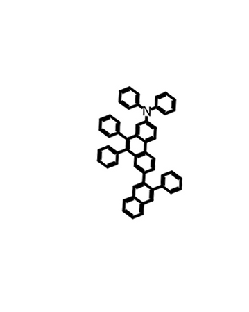 c1ccc(-c2cc3ccccc3cc2-c2ccc3c(c2)c(-c2ccccc2)c(-c2ccccc2)c2cc(N(c4ccccc4)c4ccccc4)ccc23)cc1